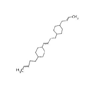 CC=CCCC1CCC(C=CCCC2CCC(CC=CC)CC2)CC1